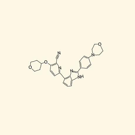 N#Cc1nc(-c2cccc3[nH]c(-c4ccc(N5CCOCC5)cc4)nc23)ccc1OC1CCOCC1